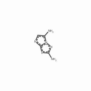 Nc1nn2c(N)cnc2s1